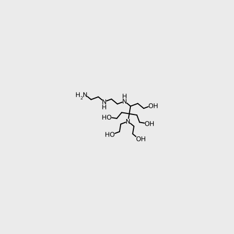 NCCNCCNC(CCO)C(CCO)(CCO)N(CCO)CCO